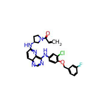 C=CC(=O)N1CC[C@H](Nc2ccc3ncnc(Nc4ccc(OCc5cccc(F)c5)c(Cl)c4)c3n2)C1